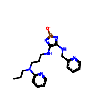 CCCN(CCCNc1n[s+]([O-])nc1NCc1ccccn1)c1ccccn1